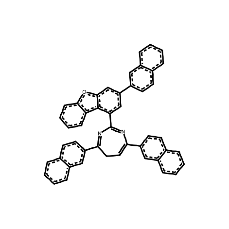 C1=C(c2ccc3ccccc3c2)N=C(c2cc(-c3ccc4ccccc4c3)cc3oc4ccccc4c23)N=C(c2ccc3ccccc3c2)C1